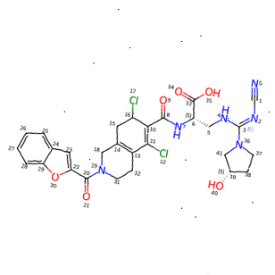 N#C/N=C(\NC[C@H](NC(=O)C1=C(Cl)C2=C(CC1Cl)CN(C(=O)c1cc3ccccc3o1)CC2)C(=O)O)N1CC[C@H](O)C1